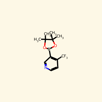 CC1(C)OB(c2cnccc2C(F)(F)F)OC1(C)C